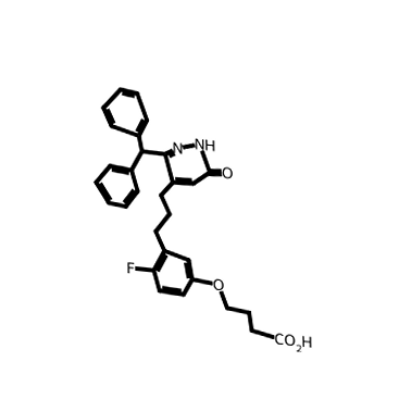 O=C(O)CCCOc1ccc(F)c(CCCc2cc(=O)[nH]nc2C(c2ccccc2)c2ccccc2)c1